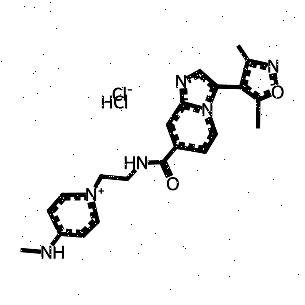 CNc1cc[n+](CCNC(=O)c2ccn3c(-c4c(C)noc4C)cnc3c2)cc1.Cl.[Cl-]